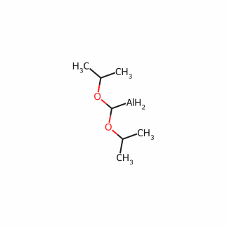 CC(C)O[CH]([AlH2])OC(C)C